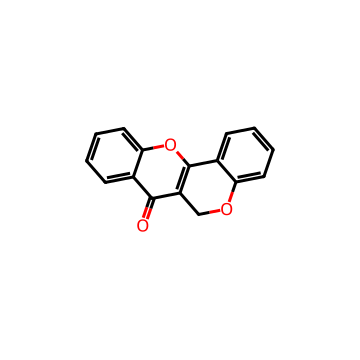 O=c1c2c(oc3ccccc13)-c1ccccc1OC2